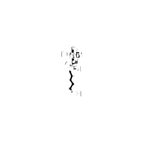 CCCCCCS(=O)(=O)O.CC[N+](CC)(CC)CC.[F-]